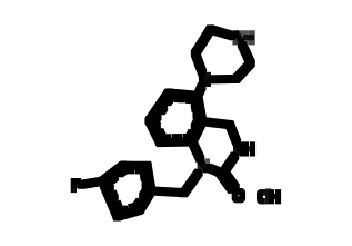 Cl.O=C1NCc2c(N3CCNCC3)cccc2N1Cc1ccc(F)cc1